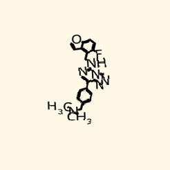 CN(C)Cc1ccc(-c2cnc(NCc3c(F)ccc4occc34)n3cnnc23)cc1